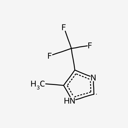 Cc1[nH][c]nc1C(F)(F)F